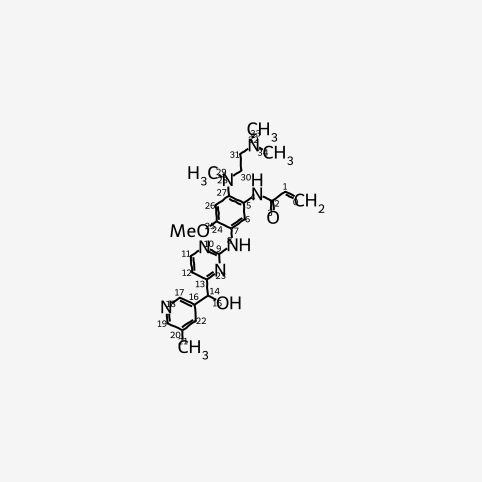 C=CC(=O)Nc1cc(Nc2nccc(C(O)c3cncc(C)c3)n2)c(OC)cc1N(C)CCN(C)C